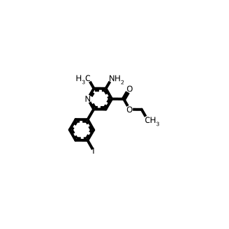 CCOC(=O)c1cc(-c2cccc(I)c2)nc(C)c1N